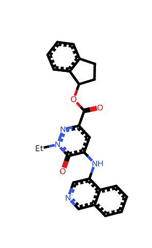 CCn1nc(C(=O)OC2CCc3ccccc32)cc(Nc2cncc3ccccc23)c1=O